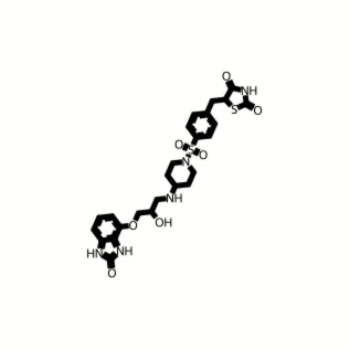 O=C1NC(=O)C(Cc2ccc(S(=O)(=O)N3CCC(NCC(O)COc4cccc5[nH]c(=O)[nH]c45)CC3)cc2)S1